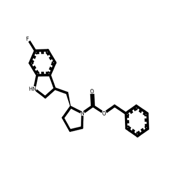 O=C(OCc1ccccc1)N1CCC[C@H]1CC1CNc2cc(F)ccc21